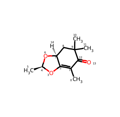 CC1=C2O[C@@H](C)O[C@H]2CC(C)(C)C1=O